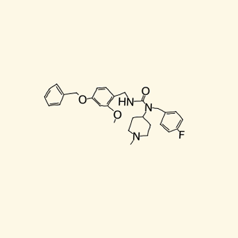 COc1cc(OCc2ccccc2)ccc1CNC(=O)N(Cc1ccc(F)cc1)C1CCN(C)CC1